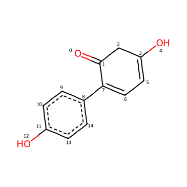 O=C1CC(O)=CC=C1c1ccc(O)cc1